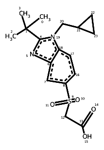 CC(C)(C)c1nc2cc(S(=O)(=O)CC(=O)O)ccc2n1CC1CC1